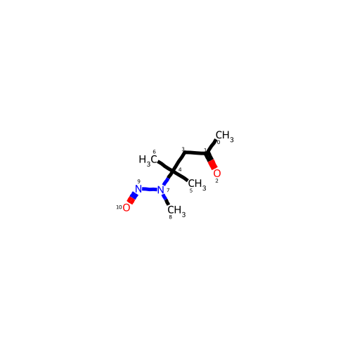 CC(=O)CC(C)(C)N(C)N=O